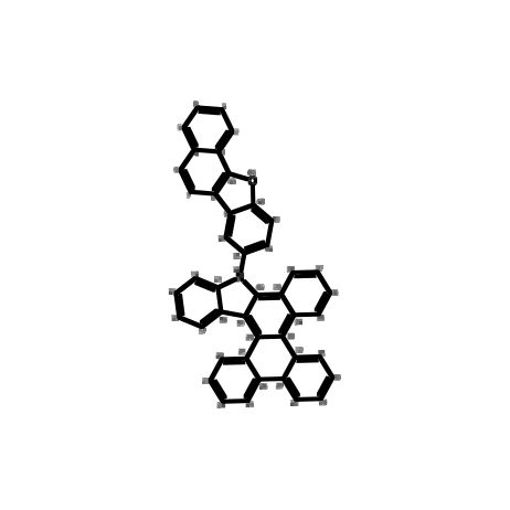 c1ccc2c(c1)ccc1c3cc(-n4c5ccccc5c5c6c7ccccc7c7ccccc7c6c6ccccc6c54)ccc3oc21